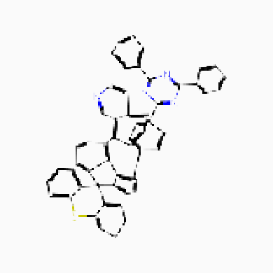 C1=C2Sc3ccccc3C3(C2=CCC1)c1cccc(-c2ccc(-c4nc(-c5ccccc5)nc(-c5ccccc5)n4)cc2)c1-c1c(-c2cccc4ccncc24)cccc13